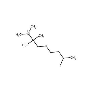 CC(I)CCOCC(C)(C)[SiH](C)C